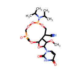 COC1C2C(C#N)COP(N(C(C)C)C(C)C)OOC[P+]([O-])=COC2OC1n1ccc(=O)[nH]c1=O